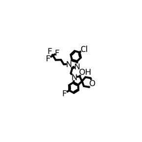 OC1N(Cc2nc3cc(Cl)ccc3n2CCCC(F)(F)F)c2cc(F)ccc2C12CCOCC2